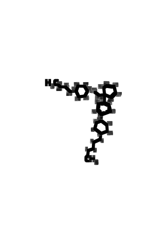 CCCCC[C@H]1CC[C@H](c2ccc(C3(CC[C@H]4CC[C@H](CCCC)CC4)C=CC=CC3)cc2)CC1